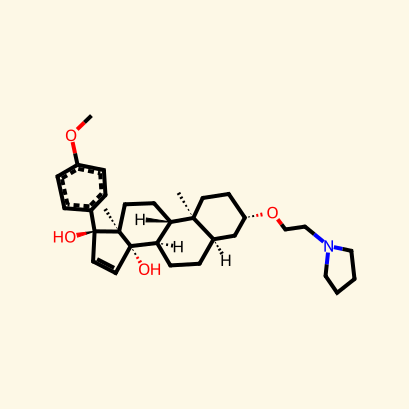 COc1ccc([C@@]2(O)C=C[C@]3(O)[C@@H]4CC[C@@H]5C[C@@H](OCCN6CCCC6)CC[C@]5(C)[C@H]4CC[C@]23C)cc1